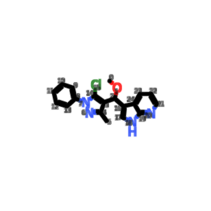 COC(c1c(C)nn(-c2ccccc2)c1Cl)c1c[nH]c2ncccc12